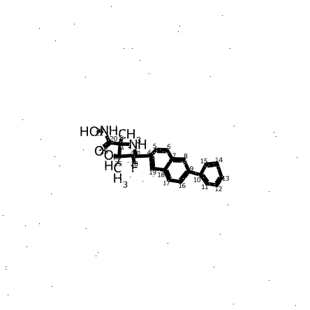 CC(NCc1ccc2cc(-c3ccccc3)ccc2c1)(C(=O)NO)[C@](C)(O)CF